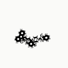 Cn1c(N2CCN(CCCCC3(C(=O)NCc4ccc(F)cc4)c4ccccc4-c4ccccc43)CC2)nc2ccccc21